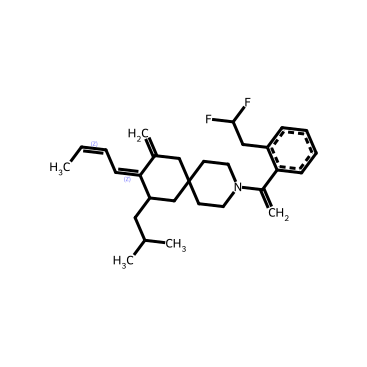 C=C1CC2(CCN(C(=C)c3ccccc3CC(F)F)CC2)CC(CC(C)C)/C1=C/C=C\C